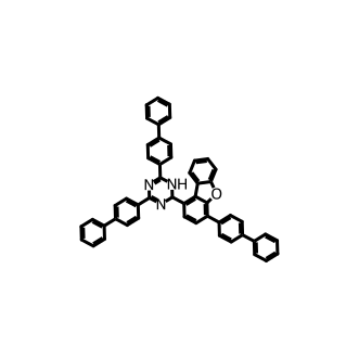 c1ccc(-c2ccc(C3=NC(c4ccc(-c5ccc(-c6ccccc6)cc5)c5oc6ccccc6c45)NC(c4ccc(-c5ccccc5)cc4)=N3)cc2)cc1